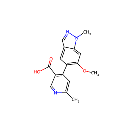 COc1cc2c(cnn2C)cc1-c1cc(C)ncc1C(=O)O